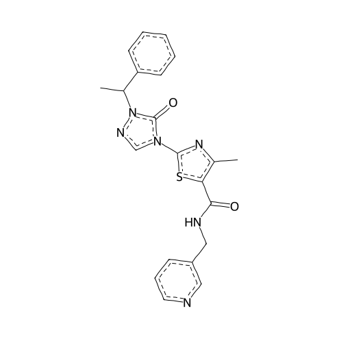 Cc1nc(-n2cnn(C(C)c3ccccc3)c2=O)sc1C(=O)NCc1cccnc1